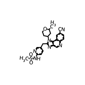 CC1CC(n2c(Cc3ccc(NS(C)(=O)=O)nc3)nc3cnc4ccc(C#N)cc4c32)CCO1